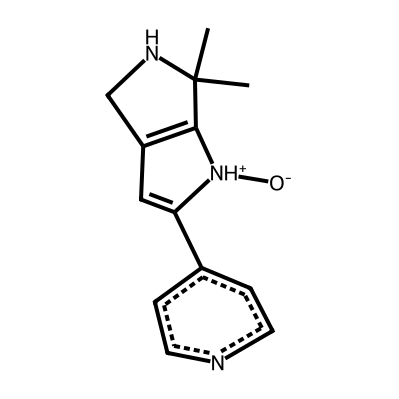 CC1(C)NCC2=C1[NH+]([O-])C(c1ccncc1)=C2